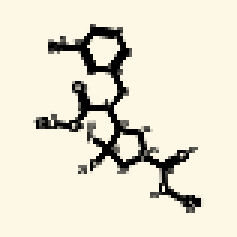 CC(C)(C)OC(=O)[C@@H](Cc1cccc(Br)c1)C1CN(C(=O)OC(C)(C)C)CC1(F)F